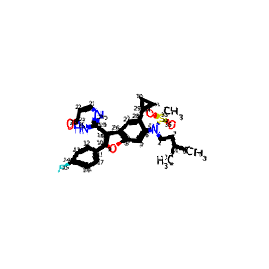 CC(C)CCN(c1cc2oc(-c3ccc(F)cc3)c(-c3nccc(=O)[nH]3)c2cc1C1CC1)S(C)(=O)=O